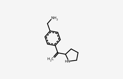 C=C(c1ccc(CN)cc1)C1CCCN1